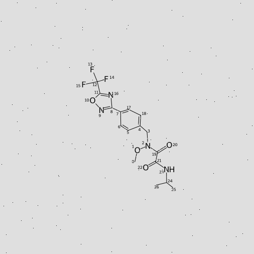 CON(Cc1ccc(-c2noc(C(F)(F)F)n2)cc1)C(=O)C(=O)NC(C)C